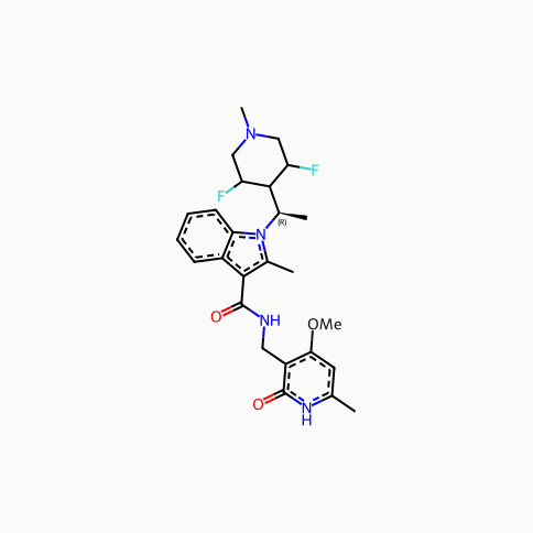 COc1cc(C)[nH]c(=O)c1CNC(=O)c1c(C)n([C@H](C)C2C(F)CN(C)CC2F)c2ccccc12